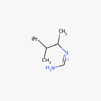 CC(C)C(C)C(C)/N=C\N